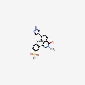 CCS(=O)(=O)c1ccc(OC)c(-c2cn(C)c(=O)c3ccc(-c4cn[nH]c4)cc23)c1